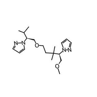 COC[C@H](n1cccn1)C(C)(C)CCOC[C@H](C(C)C)n1cccn1